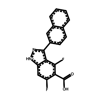 O=C(O)c1c(F)cc2[nH]nc(-c3ccc4ccccc4c3)c2c1F